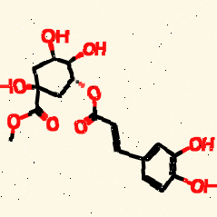 COC(=O)[C@]1(O)C[C@@H](O)[C@@H](O)[C@H](OC(=O)/C=C/c2ccc(O)c(O)c2)C1